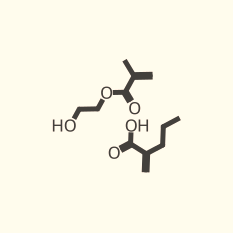 C=C(C)C(=O)OCCO.C=C(CCC)C(=O)O